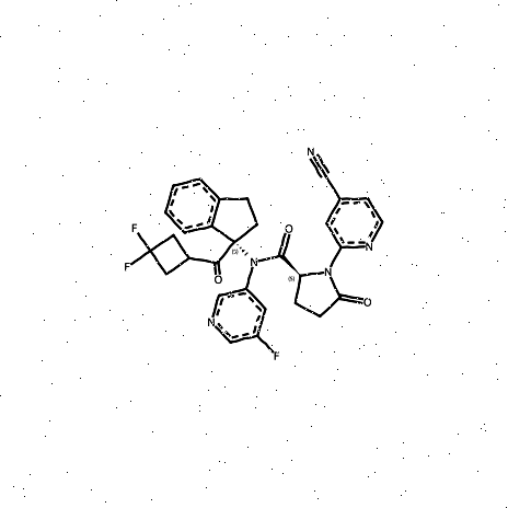 N#Cc1ccnc(N2C(=O)CC[C@H]2C(=O)N(c2cncc(F)c2)[C@@]2(C(=O)C3CC(F)(F)C3)CCc3ccccc32)c1